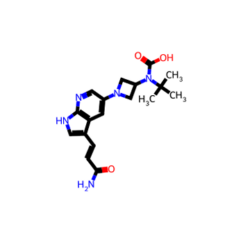 CC(C)(C)N(C(=O)O)C1CN(c2cnc3[nH]cc(C=CC(N)=O)c3c2)C1